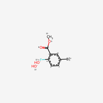 [B+2]c1ccc(F)c(C(=O)OC)c1.[OH-].[OH-]